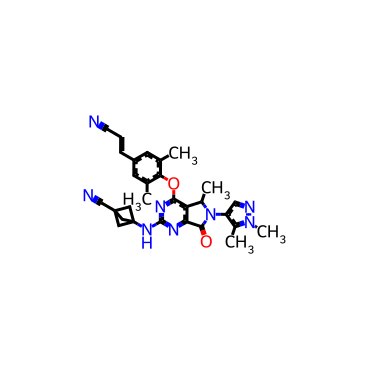 Cc1cc(/C=C/C#N)cc(C)c1Oc1nc(NC23CC(C#N)(C2)C3)nc2c1C(C)N(c1cnn(C)c1C)C2=O